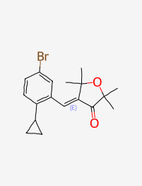 CC1(C)OC(C)(C)/C(=C\c2cc(Br)ccc2C2CC2)C1=O